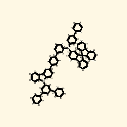 c1ccc(-c2ccc(N(c3cccc(-c4ccc(-c5ccc6c(c5)c5ccccc5n6-c5cc(-c6ccccc6)cc(-c6ccccc6)c5)cc4)c3)c3ccc4c(c3)C3(c5ccccc5-c5ccccc53)c3ccccc3-4)cc2)cc1